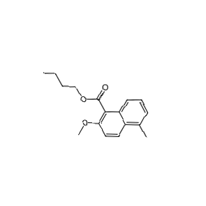 CCCCOC(=O)c1c(OC)ccc2c(C)cccc12